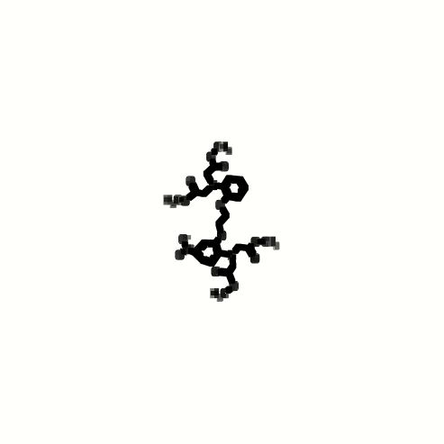 COC(=O)CN(CC(=O)OC)c1ccccc1OCCOc1cc([N+](=O)[O-])ccc1N(CC(=O)OC)CC(=O)OC